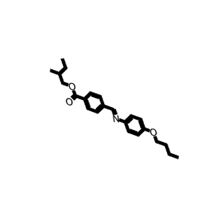 CCCCOc1ccc(N=Cc2ccc(C(=O)OCC(C)CC)cc2)cc1